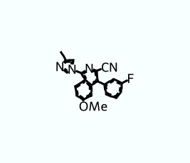 COc1ccc2c(-n3cnc(C)c3)nc(C#N)c(-c3cccc(F)c3)c2c1